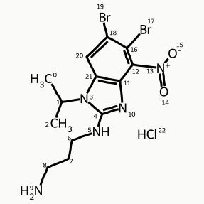 CC(C)n1c(NCCCN)nc2c([N+](=O)[O-])c(Br)c(Br)cc21.Cl